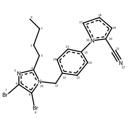 CCCCc1nc(Br)c(Br)n1Cc1ccc(-n2cccc2C#N)cc1